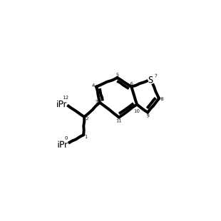 CC(C)CC(c1ccc2sccc2c1)C(C)C